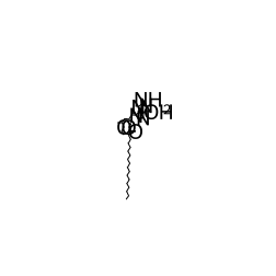 CCCCCCCCCCCCCCCCCC(=O)OC[C@H](CC(C)OCC)Cn1cnc2c(O)nc(N)nc21